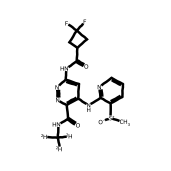 [2H]C([2H])([2H])NC(=O)c1nnc(NC(=O)C2CC(F)(F)C2)cc1Nc1ncccc1[S+](C)[O-]